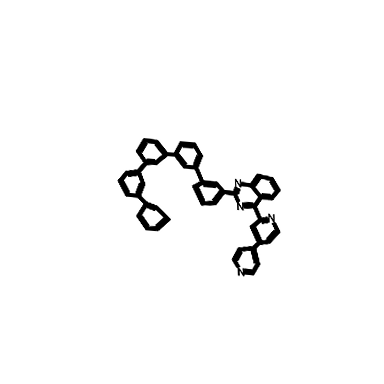 c1ccc(-c2cccc(-c3cccc(-c4cccc(-c5cccc(-c6nc(-c7cc(-c8ccncc8)ccn7)c7ccccc7n6)c5)c4)c3)c2)cc1